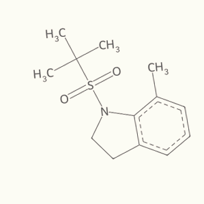 Cc1cccc2c1N(S(=O)(=O)C(C)(C)C)CC2